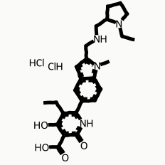 CCc1c(-c2ccc3c(c2)cc(CNCC2CCCN2CC)n3C)[nH]c(=O)c(C(=O)O)c1O.Cl.Cl